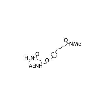 CNC(=O)CCCCc1ccc(COC[C@H](CCC(N)=O)NC(C)=O)cc1